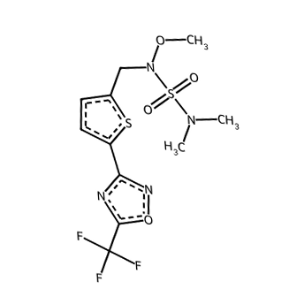 CON(Cc1ccc(-c2noc(C(F)(F)F)n2)s1)S(=O)(=O)N(C)C